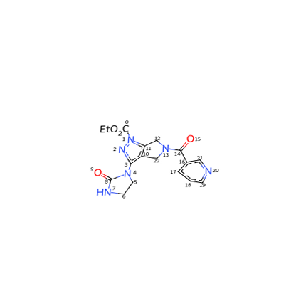 CCOC(=O)n1nc(N2CCNC2=O)c2c1CN(C(=O)c1cccnc1)C2